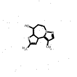 CC1=CC2c3c(C)cnn3CCC(O)C2S1